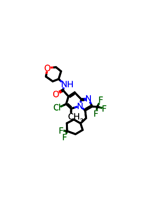 Cc1c(Cl)c(C(=O)NC2CCOCC2)cc2nc(C(F)(F)F)c(CC3CCC(F)(F)CC3)n12